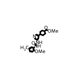 COC(=O)C1CCC(c2cncc(NC(=O)Nc3cc(C)ccc3OC)c2)CC1